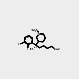 COCCCC[C@@](O)(c1cccc(Cl)c1F)C1CCCN(C(=O)O)C1